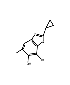 Cc1cc2nc(C3CC3)sc2c(Br)c1O